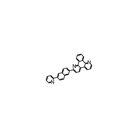 c1ccc(-c2ccc3cc(-c4ccc5c6cccnc6c6ccccc6c5n4)ccc3c2)nc1